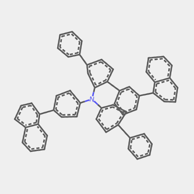 c1ccc(-c2ccc(N(c3ccc(-c4cccc5ccccc45)cc3)c3cc(-c4ccccc4)ccc3-c3cccc(-c4cccc5ccccc45)c3)cc2)cc1